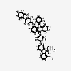 CC1(C)c2ccccc2-c2ccc(-c3ccc(N4c5ccccc5B5c6ccccc6N(c6ccc7c(c6)oc6ccccc67)c6cccc4c65)cc3)cc21